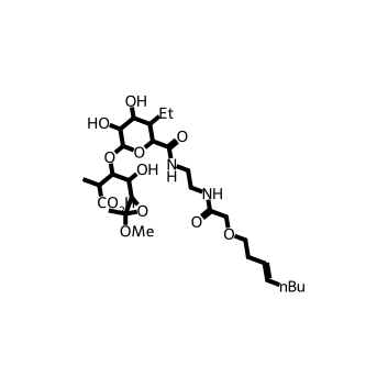 CCCC/C=C/CCOCC(=O)NCCNC(=O)C1OC(OC(C(C)C(=O)O)C(O)C2OC2(C)OC)C(O)C(O)C1CC